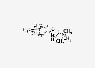 CC(CN(C)C)NC(=O)c1ccc(C(C)(C)C)cc1